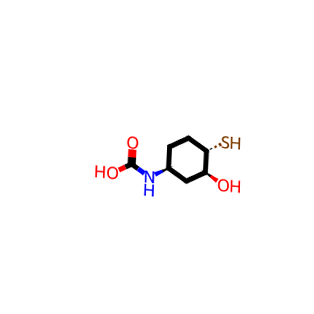 O=C(O)N[C@H]1CC[C@H](S)[C@@H](O)C1